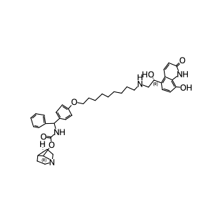 O=C(NC(c1ccccc1)c1ccc(OCCCCCCCCCNC[C@H](O)c2ccc(O)c3[nH]c(=O)ccc23)cc1)O[C@H]1CN2CCC1CC2